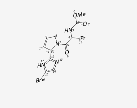 COC(=O)NC(C(=O)N1CC=C[C@H]1c1ncc(Br)[nH]1)C(C)C